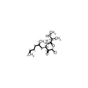 C=CCCC(C)C[C@@H](NC(=O)[C@H](C)NC)C(=O)CCl